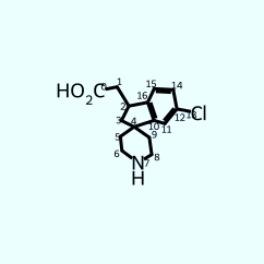 O=C(O)CC1CC2(CCNCC2)c2cc(Cl)ccc21